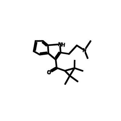 CN(C)CCc1[nH]c2ccccc2c1C(=O)C1C(C)(C)C1(C)C